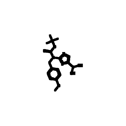 COc1ccc(CN(C(=O)OC(C)(C)C)c2ncc(B(O)O)s2)cc1